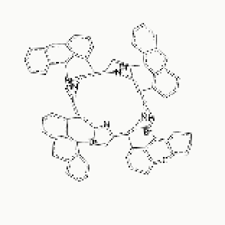 Brc1c2ccccc2cc2cccc(-c3c4nc(c(-c5cccc6cc7ccccc7c(Br)c56)c5ccc([nH]5)c(-c5cccc6cc7ccccc7c(Br)c56)c5nc(c(-c6cccc7cc8ccccc8c(Br)c67)c6ccc3[nH]6)C=C5)C=C4)c12